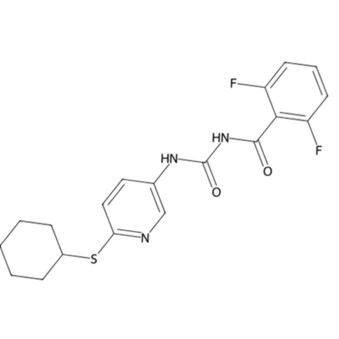 O=C(NC(=O)c1c(F)cccc1F)Nc1ccc(SC2CCCCC2)nc1